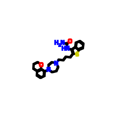 NC(=O)Nc1c(CCCCN2CCCN(c3cccc4c3OCCC4)CC2)sc2ccccc12